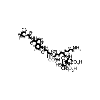 CC(C)(S)[C@H](NC(=O)[C@H](CC(=O)O)NC(=O)[C@H](CCCCN)CCC(=O)[C@H](CC(=O)O)NC(=O)CCC(=O)Nc1cccc2c(C(=O)NCC(=O)N3CC(F)(F)C[C@H]3C#N)ccnc12)C(=O)O